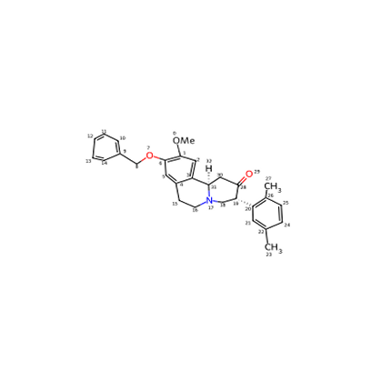 COc1cc2c(cc1OCc1ccccc1)CCN1C[C@@H](c3cc(C)ccc3C)C(=O)C[C@H]21